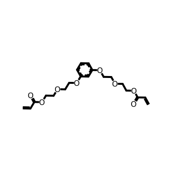 C=CC(=O)OCCOCCOc1cccc(OCCOCCOC(=O)C=C)c1